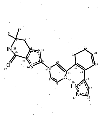 CC1(C)Cc2nc(N3C=COC(C4=C(c5ccn[nH]5)C=CCC4)=C3)sc2C(=O)N1